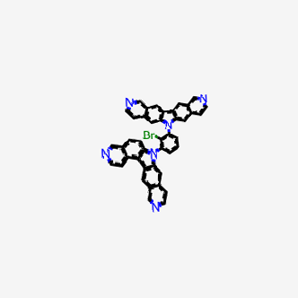 Brc1c(-n2c3cc4ccncc4cc3c3cc4cnccc4cc32)cccc1-n1c2cc3ccncc3cc2c2c3ccncc3ccc21